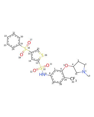 CN1CCC(Oc2cc(NS(=O)(=O)c3cc(S(=O)(=O)c4ccccc4)cs3)ccc2C(F)(F)F)C1